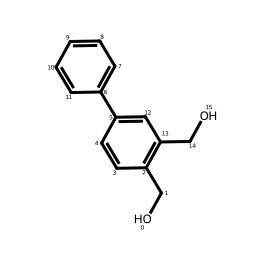 OCc1ccc(-c2ccccc2)cc1CO